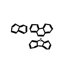 c1ccc2c(c1)ccc1ccccc12.c1ccc2c(c1)sc1ccccc12.c1ccc2ccccc2c1